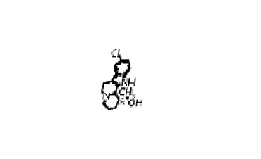 C[C@@]12c3[nH]c4ccc(Cl)cc4c3CCN1CCC[C@H]2CO